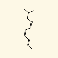 C/C=C/C=C\C=N/CC(C)C